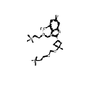 C[Si](C)(C)CCOCO[C@]1(C)C[C@H](c2nc3cc(Br)cc(C(F)(F)F)c3n2COCC[Si](C)(C)C)C1